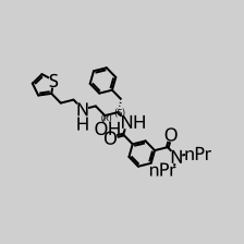 CCCN(CCC)C(=O)c1cccc(C(=O)N[C@@H](Cc2ccccc2)[C@H](O)CNCCc2cccs2)c1